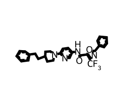 O=C(Nc1ccc(N2CCC(CCc3ccccc3)CC2)nc1)c1oc(-c2ccccc2)nc1C(F)(F)F